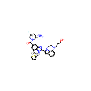 COc1cc(C(=O)N2C[C@H](N)C[C@@H](F)C2)cc2nc(-c3cc4cccc5c4n3CCN5CCCO)n(Cc3cccs3)c12